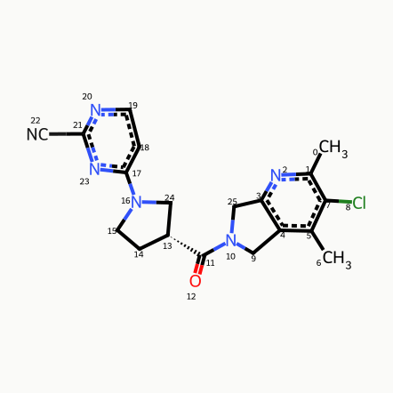 Cc1nc2c(c(C)c1Cl)CN(C(=O)[C@@H]1CCN(c3ccnc(C#N)n3)C1)C2